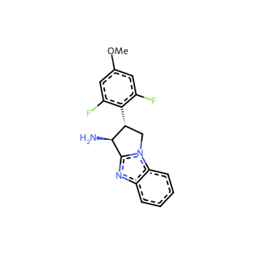 COc1cc(F)c([C@@H]2Cn3c(nc4ccccc43)[C@H]2N)c(F)c1